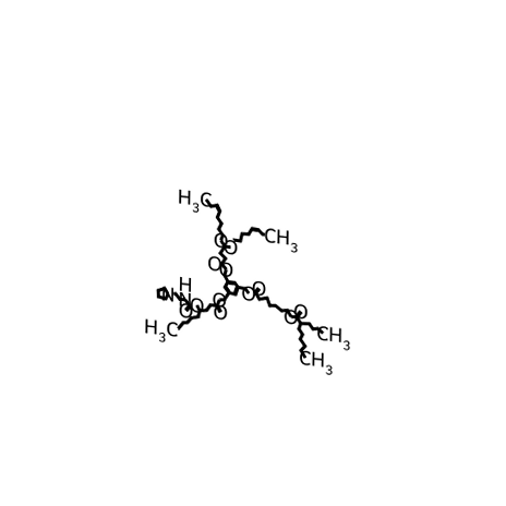 CC/C=C\CCCCOC(CCC(=O)OCc1cc(COC(=O)CCCCCCOC(=O)C(CCCC)CCCCCC)cc(COC(=O)CCC(CCCCCC)OC(=O)NCCN2CCCC2)c1)OCCCC/C=C\CC